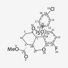 COC(=O)[C@@H]1CCC[C@@]2(S(=O)(=O)c3ccc(Cl)cc3)c3c(F)ccc(F)c3OCC12